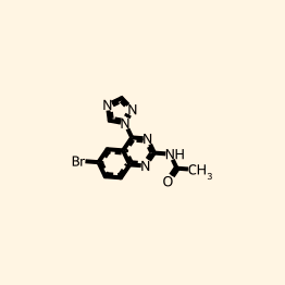 CC(=O)Nc1nc(-n2cncn2)c2cc(Br)ccc2n1